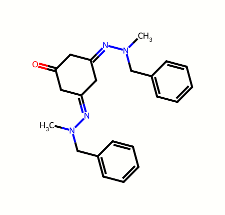 CN(Cc1ccccc1)/N=C1\CC(=O)C/C(=N/N(C)Cc2ccccc2)C1